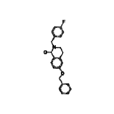 O=C1c2ccc(OCc3ccccc3)cc2CCN1Cc1ccc(F)cc1